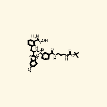 COc1ccc2nc(C(Cc3cccc(C(N)=NO)c3)NS(=O)(=O)c3cccc(C(=O)NCCCNC(=O)OC(C)(C)C)c3)sc2c1